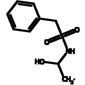 [CH2]C(O)NS(=O)(=O)Cc1ccccc1